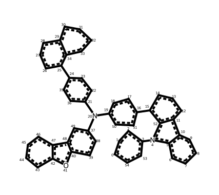 c1ccc(-n2c3ccccc3c3cccc(-c4ccc(N(c5ccc(-c6cccc7ccccc67)cc5)c5ccc6oc7ccccc7c6c5)cc4)c32)cc1